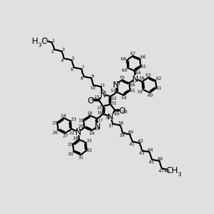 CCCCCCCCCCCCN1C(=O)C2=C(c3ccc(N(c4ccccc4)c4ccccc4)cn3)N(CCCCCCCCCCCC)C(=O)C2=C1c1ccc(N(c2ccccc2)c2ccccc2)cn1